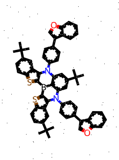 CC(C)(C)c1cc2c3c(c1)N(c1ccc(-c4coc5ccccc45)cc1)c1c(sc4ccc(C(C)(C)C)cc14)B3c1sc3ccc(C(C)(C)C)cc3c1N2c1ccc(-c2coc3ccccc23)cc1